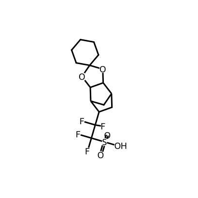 O=S(=O)(O)C(F)(F)C(F)(F)C1CC2CC1C1OC3(CCCCC3)OC21